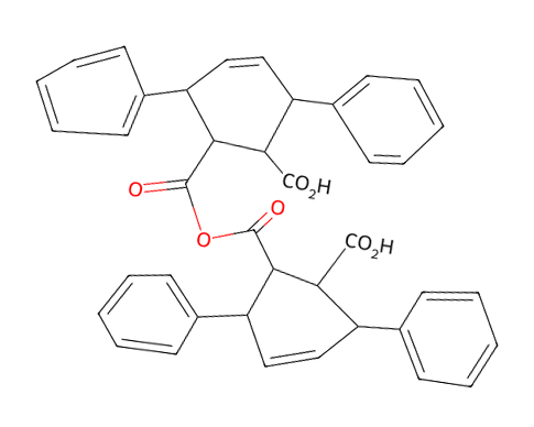 O=C(O)C1C(c2ccccc2)C=CC(c2ccccc2)C1C(=O)OC(=O)C1C(c2ccccc2)C=CC(c2ccccc2)C1C(=O)O